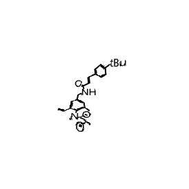 C=Cc1cc(CNC(=O)/C=C/c2ccc(C(C)(C)C)cc2)cc(C)c1N(C)S(C)(=O)=O